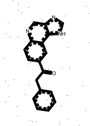 O=C(Cc1ccccc1)c1ccc2ncc3nc[nH]c3c2c1